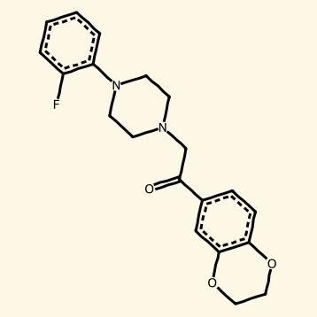 O=C(CN1CCN(c2ccccc2F)CC1)c1ccc2c(c1)OCCO2